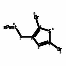 CCCCCCc1cc(Br)sc1Br